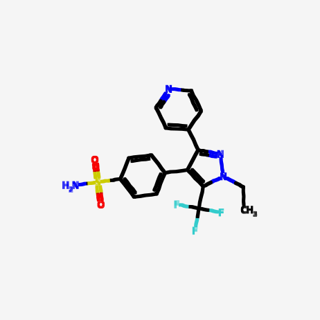 CCn1nc(-c2ccncc2)c(-c2ccc(S(N)(=O)=O)cc2)c1C(F)(F)F